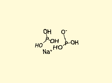 OP(O)O.[Na+].[O-]P(O)O